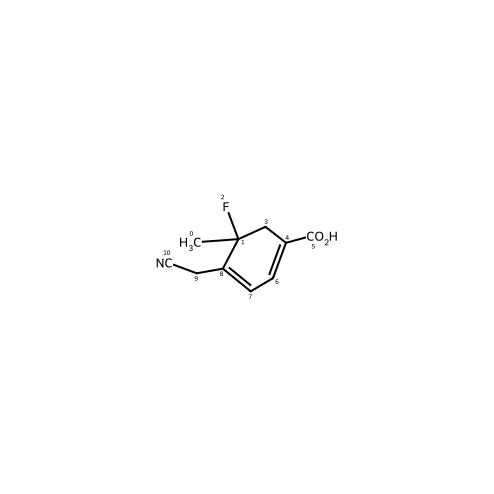 CC1(F)CC(C(=O)O)=CC=C1CC#N